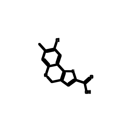 Cc1cc2c(cc1Cl)-c1sc(C(=O)O)cc1CO2